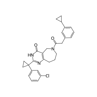 O=C(Cc1cccc(C2CC2)c1)N1CCCc2nc(C3(c4cccc(Cl)c4)CC3)[nH]c(=O)c2C1